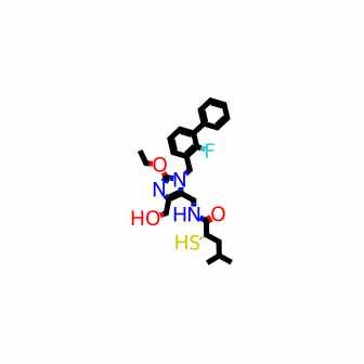 CCOc1nc(CO)c(CNC(=O)[C@@H](S)CC(C)C)n1Cc1cccc(-c2ccccc2)c1F